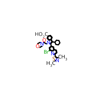 Cc1nc(C)c(-c2ccc3cc(-c4c(C5CCCCC5)c5ccc(C(=O)O)cc5n4CC(=O)N4CCOCC4)cc(Br)c3n2)s1